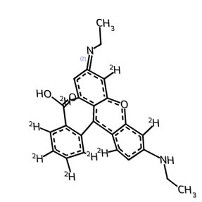 [2H]c1c/c(=N/CC)c([2H])c2oc3c([2H])c(NCC)cc([2H])c3c(-c3c([2H])c([2H])c([2H])c([2H])c3C(=O)O)c1-2